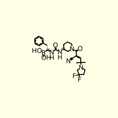 CC(C)(C=C(C#N)C(=O)N1CCC[C@@H](NC(=O)N[C@@H](Cc2ccccc2)B(O)O)C1)N1CCC(F)(F)C1